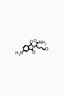 NC(=O)C(CCC=O)N1C(=O)c2ccc(N)cc2C1=O